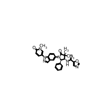 Cn1cc(-n2ncc3cc(N4C(=O)C(C)(C)[C@H](NC(=O)c5cnco5)[C@H]4c4ccccc4)ccc32)ccc1=O